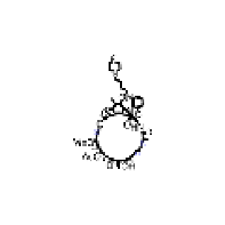 CO[C@H]1/C=C/O[C@@]2(C)Oc3c(C)c(O)c4c(=O)c(c5oc6cccc(OCCCCN7CCN(C)CC7)c6nc-5c4c3C2=O)NC(=O)/C(C)=C\C=C\[C@H](C)[C@H](O)[C@@H](C)[C@@H](O)[C@@H](C)[C@H](OC(C)=O)[C@@H]1C